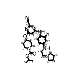 CC(C)OC(=O)N1CCC(Oc2cc(Nc3ccc(NCCN4CCCC4)cc3F)nc(C#N)n2)CC1